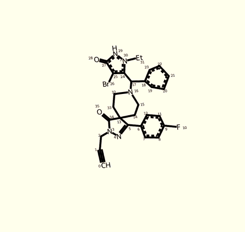 C#CCN1N=C(c2ccc(F)cc2)C2(CCN(C(c3ccccc3)c3c(Br)c(=O)[nH]n3CC)CC2)C1=O